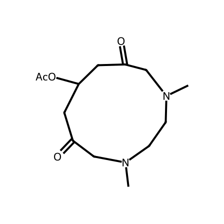 CC(=O)OC1CC(=O)CN(C)CCN(C)CC(=O)C1